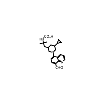 CC(C)(CC1CC(C2CC2)CN(c2ccc(C=O)c3ncccc23)C1)NC(=O)O